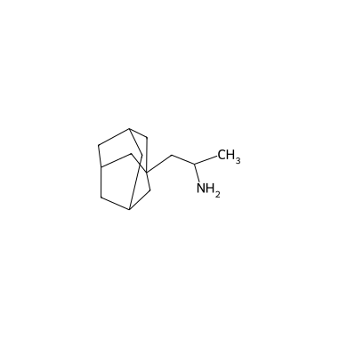 CC(N)CC12CC3CC(CC(C3)C1)C2